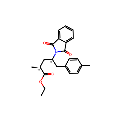 CCOC(=O)[C@@H](C)C[C@H](Cc1ccc(C)cc1)N1C(=O)c2ccccc2C1=O